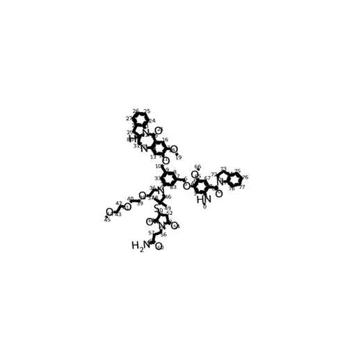 CNc1cc(OCc2cc(COc3cc4c(cc3OC)C(=O)N3c5ccccc5C[C@H]3C=N4)cc(N(CCOCCOCCOC)CC(C)(C)SC3CC(=O)N(CCC(N)=O)C3=O)c2)c(OC)cc1C(=O)N1CCc2ccccc21